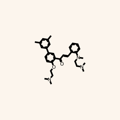 Cc1cc(C)cc(-c2ccc(OCCN(C)C)c(C(=O)C=Cc3ccccc3N(C)CCN(C)C)c2)c1